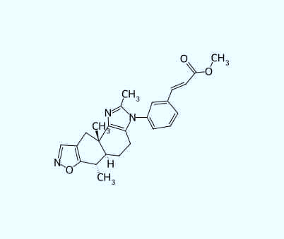 COC(=O)/C=C/c1cccc(-n2c(C)nc3c2CC[C@H]2[C@H](C)c4oncc4C[C@]32C)c1